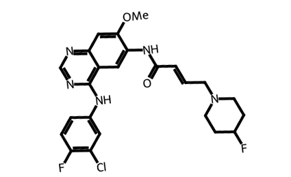 COc1cc2ncnc(Nc3ccc(F)c(Cl)c3)c2cc1NC(=O)C=CCN1CCC(F)CC1